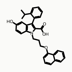 CC(C)c1ccccc1-c1c(C(=O)O)n(CCCOc2cccc3ccccc23)c2ccc(O)cc12